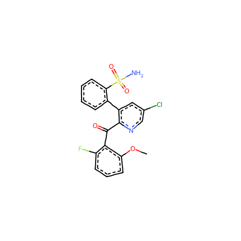 COc1cccc(F)c1C(=O)c1ncc(Cl)cc1-c1ccccc1S(N)(=O)=O